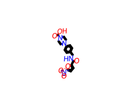 O=C(NCc1ccc(N2CCN(C(=O)O)CC2)cc1)c1ccc([N+](=O)[O-])o1